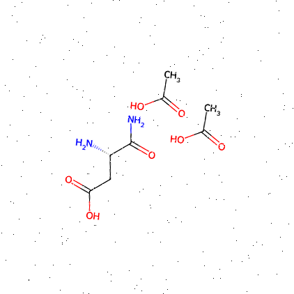 CC(=O)O.CC(=O)O.NC(=O)[C@@H](N)CC(=O)O